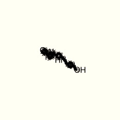 OCCN1CCN(CCNC=C2CCC(c3cnc4c(N5CCOCC5)nccn34)CC2)CC1